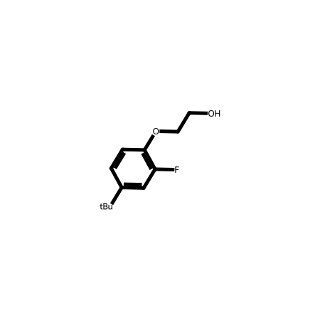 CC(C)(C)c1ccc(OCCO)c(F)c1